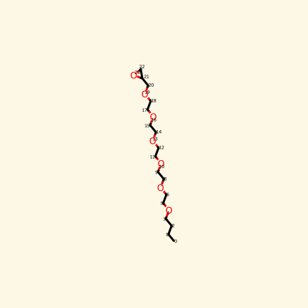 CCCCOCCOCCOCCOCCOCCOCC1CO1